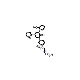 N#Cc1ccccc1-c1cc(-c2ccccn2)cn(-c2ccccc2)c1=O.O=C(O)/C=C/C(=O)O